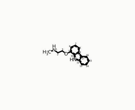 CNCCOc1cccc2c1[nH]c1ccccc12